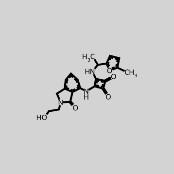 Cc1ccc(C(C)Nc2c(Nc3cccc4c3C(=O)N(CCO)C4)c(=O)c2=O)o1